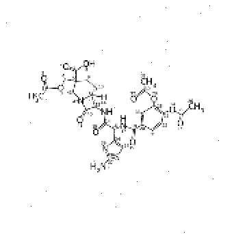 CC(=O)OCC1(C(=O)O)CS[C@@H]2C(NC(=O)C(NC(=O)c3ccc(OC(C)=O)c(OC(C)=O)c3)c3csc(N)n3)C(=O)N2C1